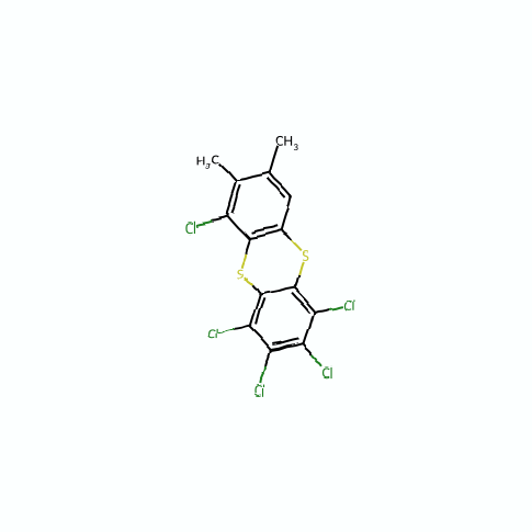 Cc1cc2c(c(Cl)c1C)Sc1c(Cl)c(Cl)c(Cl)c(Cl)c1S2